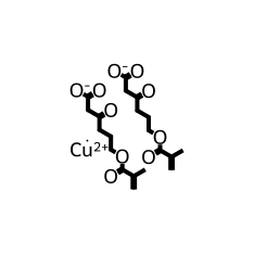 C=C(C)C(=O)OCCCC(=O)CC(=O)[O-].C=C(C)C(=O)OCCCC(=O)CC(=O)[O-].[Cu+2]